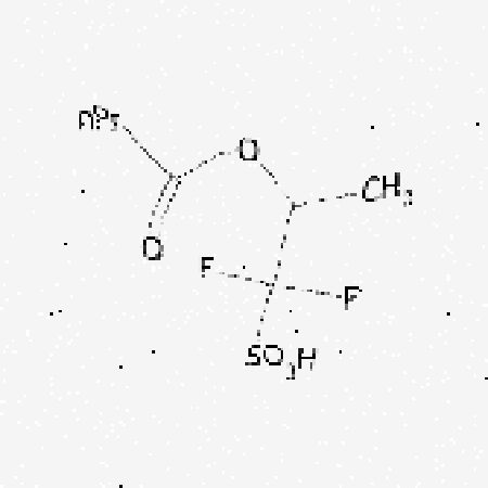 CCCC(=O)OC(C)C(F)(F)S(=O)(=O)O